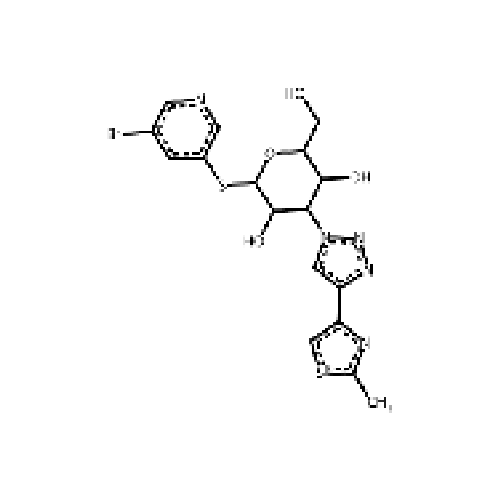 Cc1nc(-c2cn(C3C(O)C(CO)OC(Sc4cncc(Br)c4)C3O)nn2)cs1